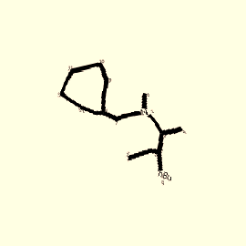 CCCCC(C)C(C)N(C)CC1CCCCC1